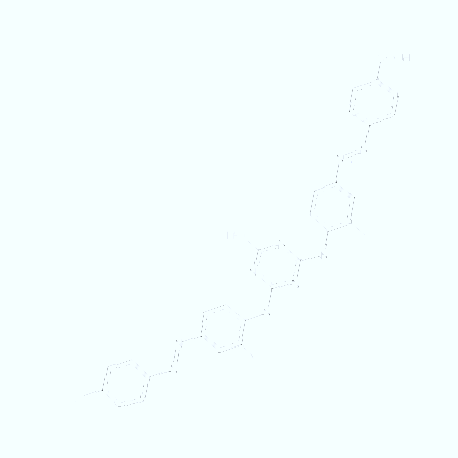 O=S(=O)(O)c1ccc(/N=N/c2ccc(Nc3nc(O)nc(Nc4ccc(/N=N/c5ccc(S(=O)(=O)O)cc5)cc4S(=O)(=O)O)n3)c(S(=O)(=O)O)c2)cc1